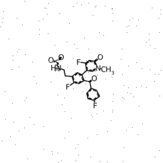 Cn1cc(-c2cc(CCN[SH](=O)=O)c(F)cc2C(=O)c2ccc(F)cc2)c(F)cc1=O